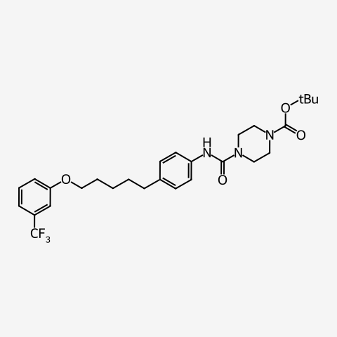 CC(C)(C)OC(=O)N1CCN(C(=O)Nc2ccc(CCCCCOc3cccc(C(F)(F)F)c3)cc2)CC1